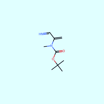 C=C(C=N)N(C)C(=O)OC(C)(C)C